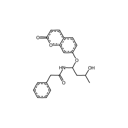 CC(O)CC(NC(=O)Cc1ccccc1)Oc1ccc2ccc(=O)oc2c1